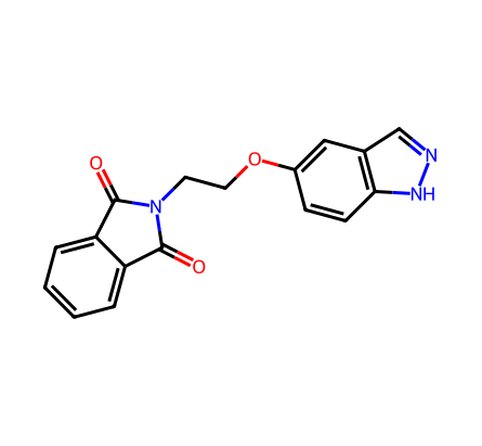 O=C1c2ccccc2C(=O)N1CCOc1ccc2[nH]ncc2c1